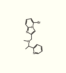 CC(c1ccccn1)N(C)Cc1cn2c(Br)cccc2n1